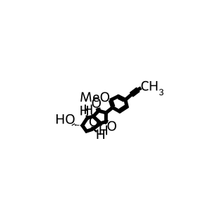 CC#Cc1ccc(C2C(=O)[C@@H]3[C@@H]4O[C@@H](C[C@@H]4CO)[C@@H]3C2=O)c(OC)c1